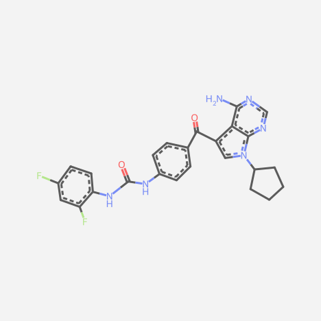 Nc1ncnc2c1c(C(=O)c1ccc(NC(=O)Nc3ccc(F)cc3F)cc1)cn2C1CCCC1